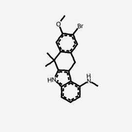 CNc1cccc2[nH]c3c(c12)Cc1cc(Br)c(OC)cc1C3(C)C